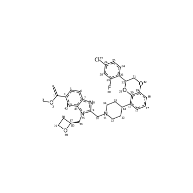 C=C(OC)c1ccc2nc(CN3CCC(c4cccc5c4OC(c4ccc(Cl)cc4F)CO5)CC3)n(C[C@@H]3CCO3)c2n1